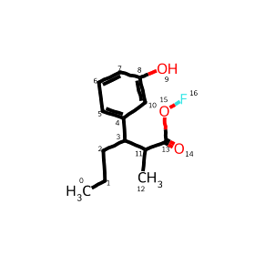 CCCC(c1cccc(O)c1)C(C)C(=O)OF